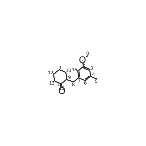 COc1cc(C)cc(CC2CCCCC2=O)c1